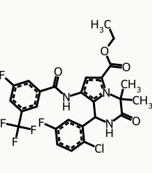 CCOC(=O)c1cc(NC(=O)c2cc(F)cc(C(F)(F)F)c2)c2n1C(C)(C)C(=O)NC2c1cc(F)ccc1Cl